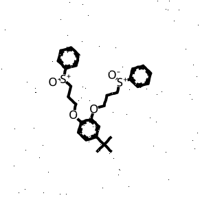 CC(C)(C)c1ccc(OCCC[S+]([O-])c2ccccc2)c(OCCC[S+]([O-])c2ccccc2)c1